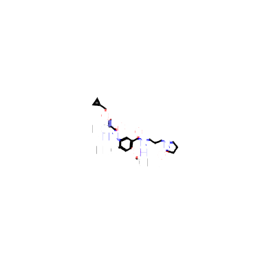 CCOc1cc(C)c(NC(=O)/C(C)=C/OCC2CC2)cc1C(=O)NCCCN1CCCC1=O